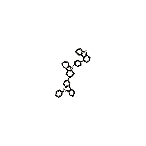 C1=Cc2c(c3cc(-c4ccc5c(c4)c4ccccc4n5-c4ccccc4)ccc3n2-c2ccc(-c3cccc4sc5ccccc5c34)cc2)CC1